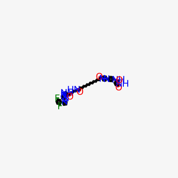 O=C(CCCCCCCCCCCCC(=O)N1CCN(c2ccc(NC3CCC(=O)NC3=O)cc2)CC1)NCCCNC(=O)c1cnn2ccc(N3CCC[C@@H]3c3cc(F)ccc3F)nc12